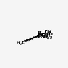 CCCCCCCCCCOC(=O)C(N)CC(C)C